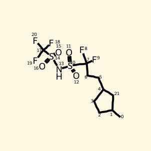 CC1CCC(CCC(F)(F)S(=O)(=O)NS(=O)(=O)C(F)(F)F)C1